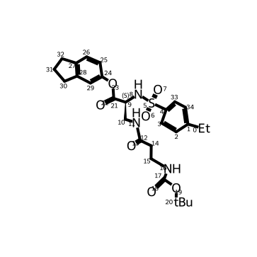 CCc1ccc(S(=O)(=O)N[C@@H](CNC(=O)CCNC(=O)OC(C)(C)C)C(=O)Oc2ccc3c(c2)CCC3)cc1